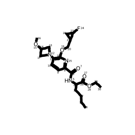 CCCCC(NC(=O)c1ccc(N2CC(OC)C2)c(OCC2CC2F)n1)C(=O)OCC